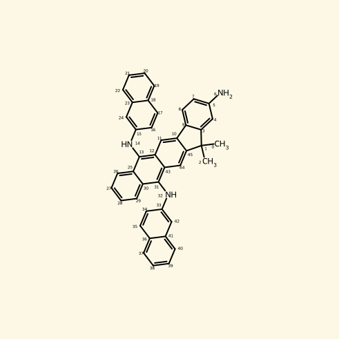 CC1(C)c2cc(N)ccc2-c2cc3c(Nc4ccc5ccccc5c4)c4ccccc4c(Nc4ccc5ccccc5c4)c3cc21